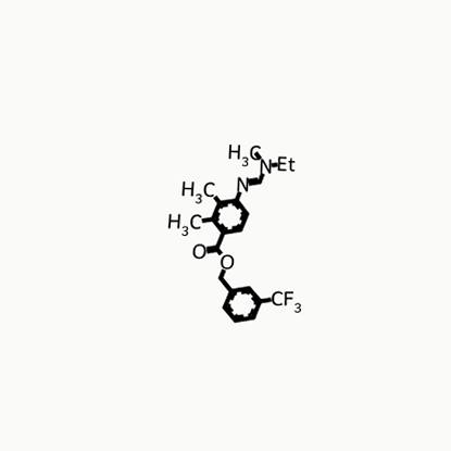 CCN(C)/C=N/c1ccc(C(=O)OCc2cccc(C(F)(F)F)c2)c(C)c1C